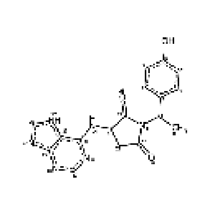 CC(c1ccc(O)cc1)N1C(=O)CC(Nc2ncnc3nc[nH]c23)C1=O